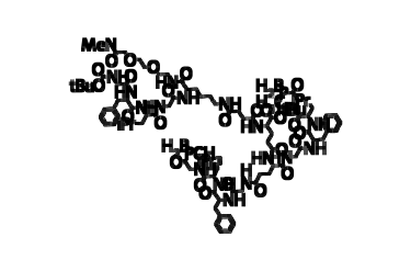 BP(C)C(=O)CNC(=O)C(CC(C)C)NC(=O)C(Cc1ccccc1)NC(=O)CNC(=O)CCC(NC(=O)CCC(NC(=O)CCC(=O)NCCCCC(NC(=O)CNC(=O)C(CC(C)C)NC(=O)C(Cc1ccccc1)NC(=O)CNC(=O)OC(C)(C)C)C(=O)NCCOCCOCC(=O)NC)C(=O)OC(C)(C)C)C(=O)NCC(=O)NC(Cc1ccccc1)C(=O)NC(CC(C)C)C(=O)NCC(=O)P(B)C